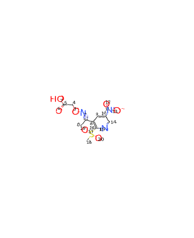 C/C(=N\OCC(=O)O)c1cc([N+](=O)[O-])cnc1S(C)(=O)=O